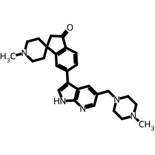 CN1CCN(Cc2cnc3[nH]cc(-c4ccc5c(c4)C4(CCN(C)CC4)CC5=O)c3c2)CC1